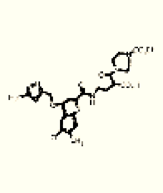 CCOC(=O)N1CCN(C(=O)C(CCNC(=O)c2cc(OCc3cc(C)on3)c3cc(Cl)c(C)cc3n2)C(=O)O)CC1